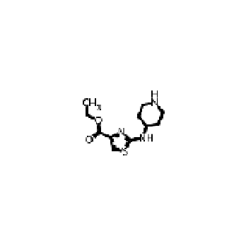 CCOC(=O)c1csc(NC2CCNCC2)n1